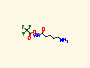 NCCCCC(=O)NOC(=O)C(F)(F)F